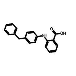 O=C(O)c1ccccc1Nc1ccc(Cc2ccccc2)cc1